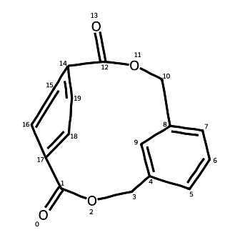 O=C1OCc2cccc(c2)COC(=O)c2ccc1cc2